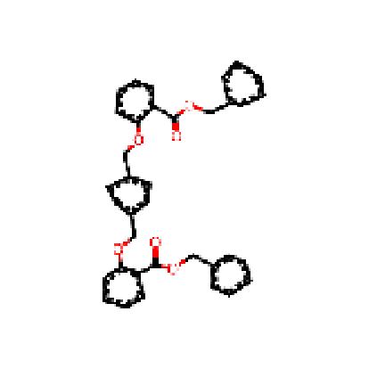 O=C(OCc1ccccc1)c1ccccc1OCc1ccc(COc2ccccc2C(=O)OCc2ccccc2)cc1